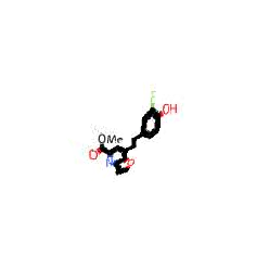 COC(=O)c1cc(CCc2ccc(O)c(F)c2)c2occc2n1